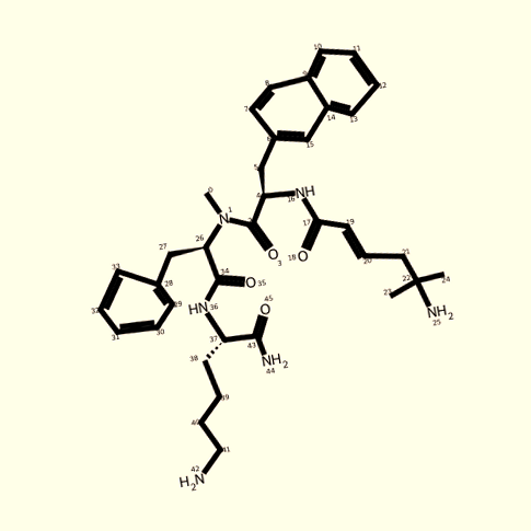 CN(C(=O)[C@@H](Cc1ccc2ccccc2c1)NC(=O)C=CCC(C)(C)N)[C@H](Cc1ccccc1)C(=O)N[C@@H](CCCCN)C(N)=O